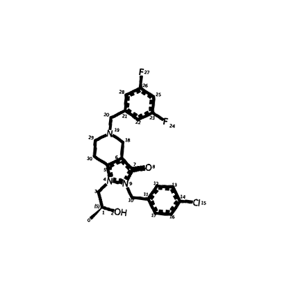 C[C@H](O)Cn1c2c(c(=O)n1Cc1ccc(Cl)cc1)CN(Cc1cc(F)cc(F)c1)CC2